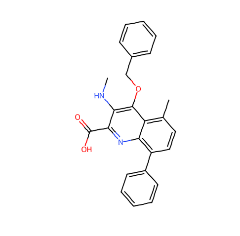 CNc1c(C(=O)O)nc2c(-c3ccccc3)ccc(C)c2c1OCc1ccccc1